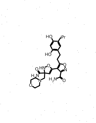 CC(C)c1cc(CCc2onc(C(N)=O)c2C2=CC(CN3CCOCC3)(C(N)=O)NO2)c(O)cc1O